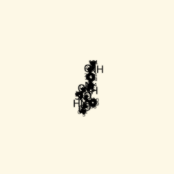 CC(C)(C)OC(=O)N[C@@H](C(=O)N1CSCC1C(=O)Nc1nc(-c2ccc(C(=O)NC3CC3)cc2)cs1)c1ccccc1